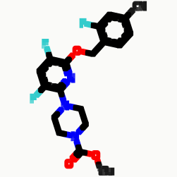 CC(C)(C)OC(=O)N1CCN(c2nc(OCc3ccc(C#N)cc3F)c(F)cc2F)CC1